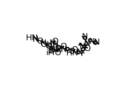 Cc1ccc(N2CCC[C@H](N(Cc3ccnc(C)c3)Cc3cn(C4CC4)c4cc(N5CC[C@@H](NC(=O)OCc6ccc(NC(=O)C(CCCNC(N)=O)CNC(=O)[C@@H](NC(=O)CCOCCOCCOCCN=N)C(C)C)cc6)C5)c(F)cc4c3=O)C2)cn1